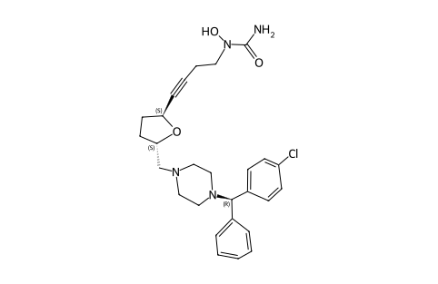 NC(=O)N(O)CCC#C[C@@H]1CC[C@@H](CN2CCN([C@H](c3ccccc3)c3ccc(Cl)cc3)CC2)O1